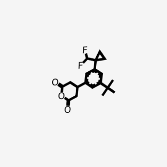 CC(C)(C)c1cc(C2CC(=O)OC(=O)C2)cc(C2(C(F)F)CC2)c1